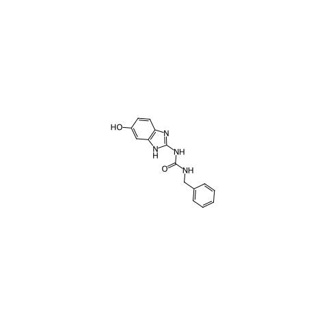 O=C(NCc1ccccc1)Nc1nc2ccc(O)cc2[nH]1